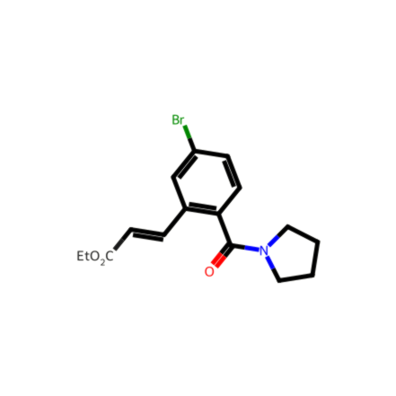 CCOC(=O)C=Cc1cc(Br)ccc1C(=O)N1CCCC1